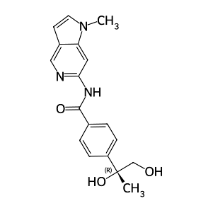 Cn1ccc2cnc(NC(=O)c3ccc([C@@](C)(O)CO)cc3)cc21